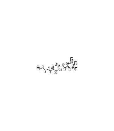 FCCC/C=C/[C@H]1CC[C@H](CCc2cc(F)c(F)c(F)c2)CC1